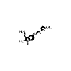 Cc1[nH]c2ccc(OCCOc3ccn(C)n3)cc2c1CCN